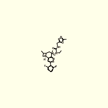 CC[C@@H](O[C@@]1(C)CC2C(C)C[C@@H]2c2cc(-c3c(F)cccc3F)nnc21)C(=O)NCc1nnc(C)o1